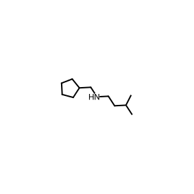 CC(C)CCNCC1CCCC1